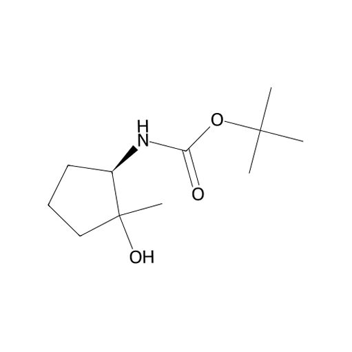 CC(C)(C)OC(=O)N[C@@H]1CCCC1(C)O